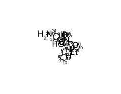 CCC1(C(=O)N[C@@H](Cc2ccccc2)[C@H](O)CN(CC(C)C)S(=O)(=O)c2ccc(N)cc2)CCCO1